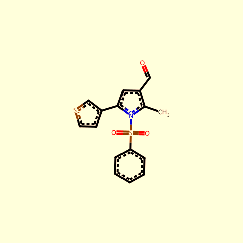 Cc1c(C=O)cc(-c2ccsc2)n1S(=O)(=O)c1ccccc1